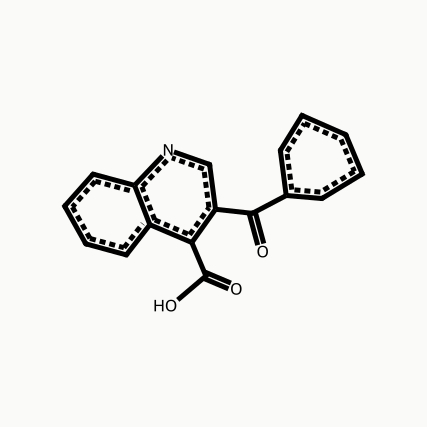 O=C(c1ccccc1)c1cnc2ccccc2c1C(=O)O